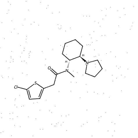 CN(C(=O)Cc1ccc(Cl)s1)[C@@H]1CCCC[C@H]1N1CCCC1